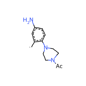 [CH2]c1cc(N)ccc1N1CCN(C(C)=O)CC1